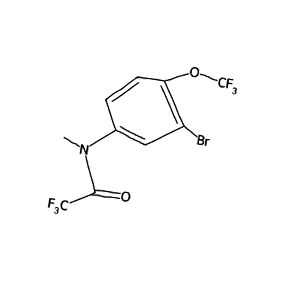 CN(C(=O)C(F)(F)F)c1ccc(OC(F)(F)F)c(Br)c1